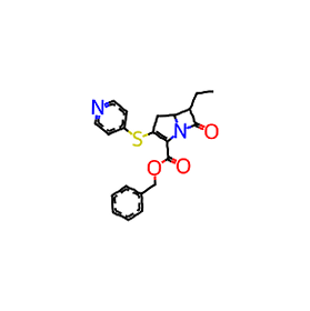 CCC1C(=O)N2C(C(=O)OCc3ccccc3)=C(Sc3ccncc3)CC12